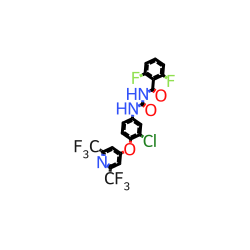 O=C(NC(=O)c1c(F)cccc1F)Nc1ccc(Oc2cc(C(F)(F)F)nc(C(F)(F)F)c2)c(Cl)c1